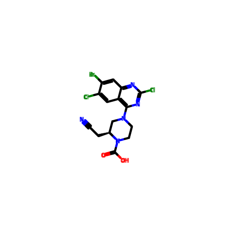 N#CC[C@H]1CN(c2nc(Cl)nc3cc(Br)c(Cl)cc23)CCN1C(=O)O